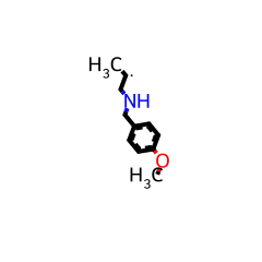 C[CH]CNCc1ccc(OC)cc1